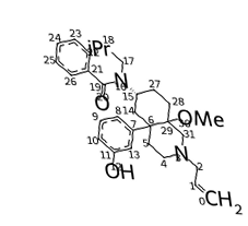 C=CCN1CCC2(c3cccc(O)c3)C[C@H](N(CC(C)C)C(=O)c3ccccc3)CCC2(OC)C1